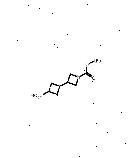 CC(C)(C)OC(=O)N1CC(C2CC(C(=O)O)C2)C1